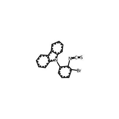 S=C=Nc1c(Br)cccc1-n1c2ccccc2c2ccccc21